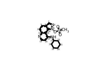 CS(=O)(=O)On1ncc2ccc3nccc(NC4CCCCC4)c3c21